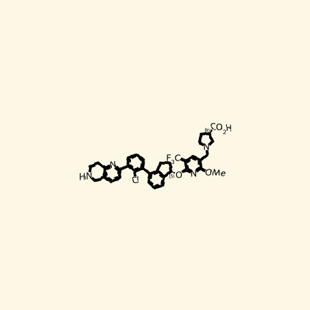 COc1nc(O[C@H]2CCc3c(-c4cccc(-c5ccc6c(n5)CCNC6)c4Cl)cccc32)c(C(F)(F)F)cc1CN1CC[C@@H](C(=O)O)C1